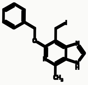 Cc1nc(OCc2ccccc2)c(CI)c2nc[nH]c12